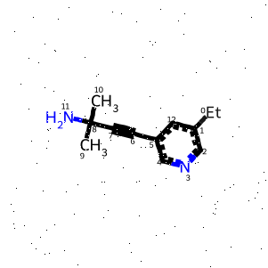 CCc1cncc(C#CC(C)(C)N)c1